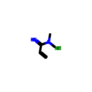 C=CC(=N)N(C)C.Cl